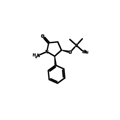 CC(C)(C)[Si](C)(C)O[C@@H]1CC(=O)N(N)[C@@H]1c1ccccc1